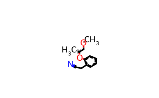 COC[C@@H](C)Oc1ccccc1CC#N